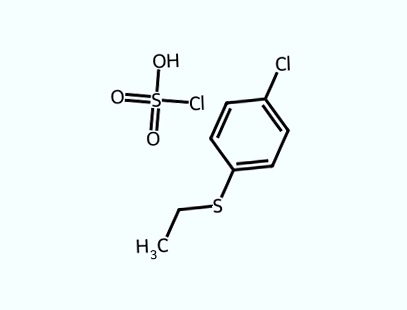 CCSc1ccc(Cl)cc1.O=S(=O)(O)Cl